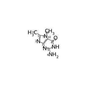 Cc1nc2nc(N)[nH]c(=O)c2n1C